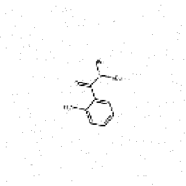 CCCCN(CCCC)C(=O)c1ccccc1N